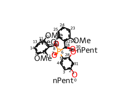 CCCCCOc1ccc(P(=O)(C(=O)c2c(OC)cccc2OC)C(=O)c2c(OC)cccc2OC)c(OCCCCC)c1